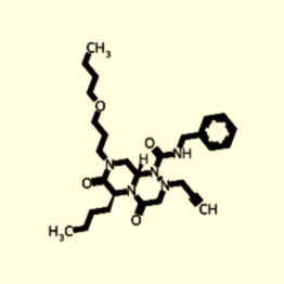 C#CCN1CC(=O)N2[C@@H](CCCC)C(=O)N(CCCOCCCC)C[C@@H]2N1C(=O)NCc1ccccc1